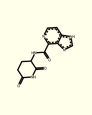 O=C1CCC(NC(=O)c2nccc3[nH]cnc23)C(=O)N1